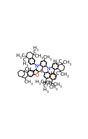 Cc1cc2c3c(c1)N(c1ccc4c(c1)C(C)(C)CCC4(C)C)c1c(oc4cc5c(cc14)C1(C)CCCC(C1)C5C)B3c1cc(C(C)(C)C)ccc1N2c1ccc2c(c1-c1ccc(C(C)(C)C)cc1)C(C)(C)CCC2(C)C